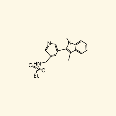 CCS(=O)(=O)NCc1cncc(-c2c(C)c3ccccc3n2C)c1